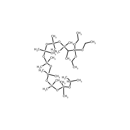 CCO[Si](OCC)(OCC)C(C)[Si](C)(C)O[Si](C)(C)O[Si](C)(C)O[Si](C)(C)O[Si](C)(C)O[Si](C)(C)O[Si](C)(C)O[SiH](C)C